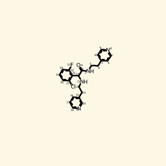 O=C(NCCc1ccncc1)C(NCCc1cccnc1)c1c(F)cccc1Cl